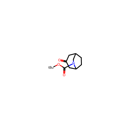 CC(C)(C)OC(=O)N1CC2CCC1CC(=O)C2